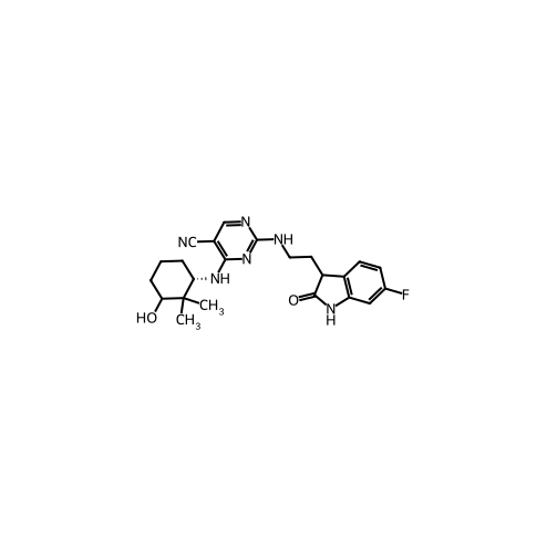 CC1(C)C(O)CCC[C@@H]1Nc1nc(NCCC2C(=O)Nc3cc(F)ccc32)ncc1C#N